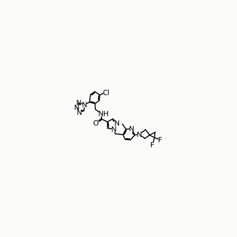 Cc1nc(N2CC3(C2)CC3(F)F)ccc1Cn1cc(C(=O)NCc2cc(Cl)ccc2-n2cnnn2)cn1